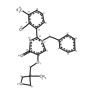 CC1(COc2cn(Cc3ccccc3)c(-c3cccc(C(F)(F)F)c3Cl)nc2=O)COC1